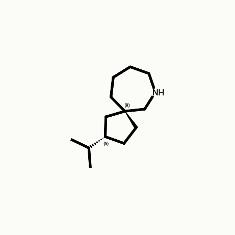 CC(C)[C@H]1CC[C@]2(CCCCNC2)C1